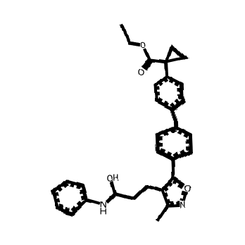 CCOC(=O)C1(c2ccc(-c3ccc(-c4onc(C)c4CCC(O)Nc4ccccc4)cc3)cc2)CC1